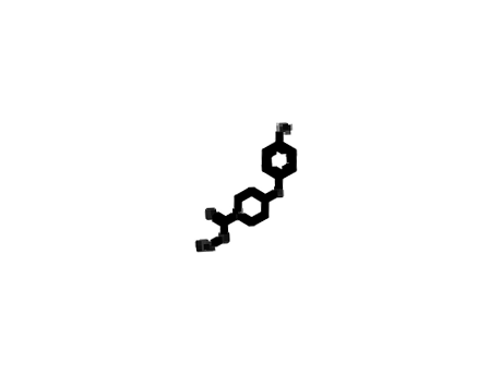 CC(C)c1ccc(SC2CCN(C(=O)OC(C)(C)C)CC2)cc1